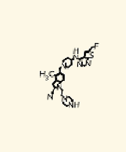 Cc1c(CN2CCC(Nc3ncnc4sc(CF)cc34)CC2)ccc2c1cc(C#N)n2CCN1CCNCC1